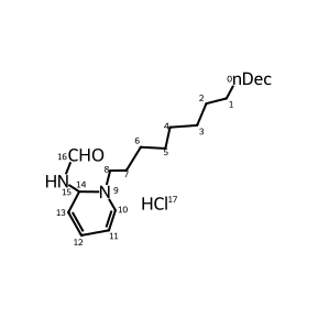 CCCCCCCCCCCCCCCCCCN1C=CC=CC1NC=O.Cl